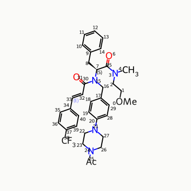 COCCN(C)C(=O)[C@H](Cc1ccccc1)N(Cc1ccc(N2CCN(C(C)=O)CC2)cc1)C(=O)/C=C/c1ccc(C(F)(F)F)cc1